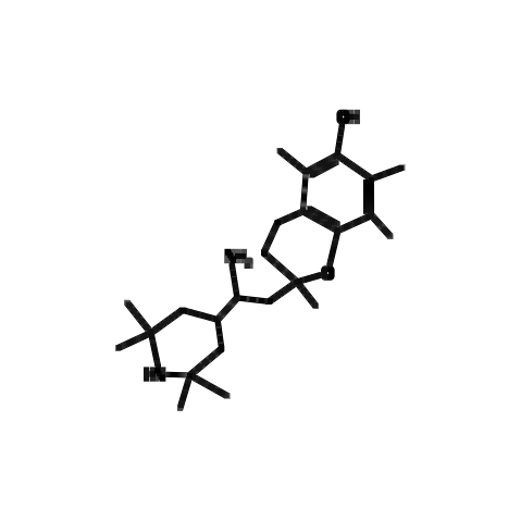 Cc1c(C)c2c(c(C)c1O)CCC(C)(CC(N)C1CC(C)(C)NC(C)(C)C1)O2